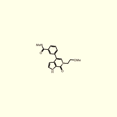 CNC(=O)c1cccc(-c2cn(CCOC)c(=O)c3[nH]ccc23)c1